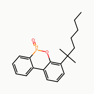 CCCCCC(C)(C)c1cccc2c1O[PH](=O)c1ccccc1-2